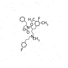 Cc1cc(CC(CCN(C)CCCc2ccc(F)cc2)C(=O)N2C(=O)OCC2Cc2ccccc2)cc(C)c1F